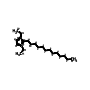 CCCCCCCCCCCCCc1n(CC)cc[n+]1CC